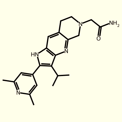 Cc1cc(-c2[nH]c3cc4c(nc3c2C(C)C)CN(CC(N)=O)CC4)cc(C)n1